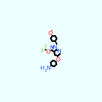 COc1ccc(Cn2nc(OC(F)F)c3cc(Oc4ccc(N)cc4)cnc32)cc1